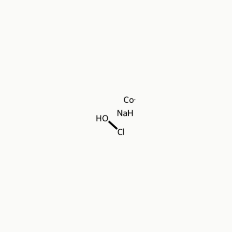 OCl.[Co].[NaH]